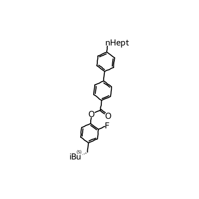 CCCCCCCc1ccc(-c2ccc(C(=O)Oc3ccc(C[C@@H](C)CC)cc3F)cc2)cc1